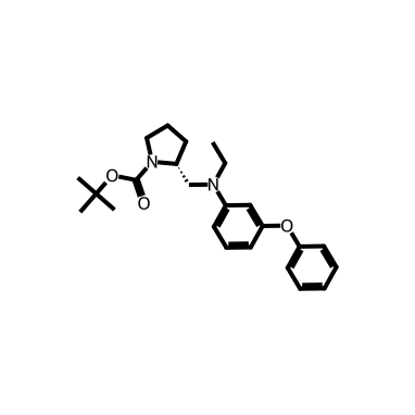 CCN(C[C@H]1CCCN1C(=O)OC(C)(C)C)c1cccc(Oc2ccccc2)c1